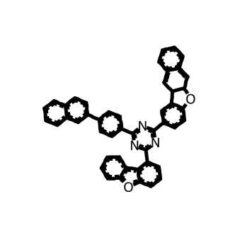 C1=c2ccccc2=CC2c3cc(-c4nc(-c5ccc(-c6ccc7ccccc7c6)cc5)nc(-c5cccc6oc7ccccc7c56)n4)ccc3OC12